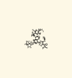 C=C(F)C(=O)N1CCN(c2nc(OCC34CCCN3CCC4)nc3c2CO[C@@H](c2c(F)c(N)cc(C)c2C(F)(F)F)C3)C[C@@H]1CC#N